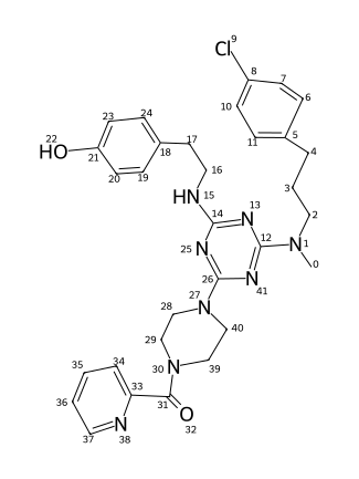 CN(CCCc1ccc(Cl)cc1)c1nc(NCCc2ccc(O)cc2)nc(N2CCN(C(=O)c3ccccn3)CC2)n1